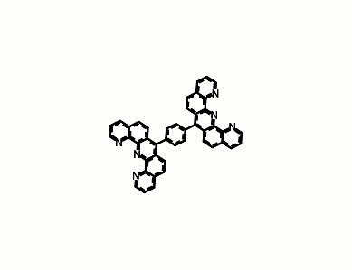 c1cnc2c(c1)ccc1c(-c3ccc(-c4c5ccc6cccnc6c5nc5c4ccc4cccnc45)cc3)c3ccc4cccnc4c3nc12